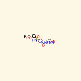 N=S(=O)(c1cccc(OC(F)(F)F)c1)C1CCN(C(=O)N2CC3(CCC(=O)N3)C2)CC1